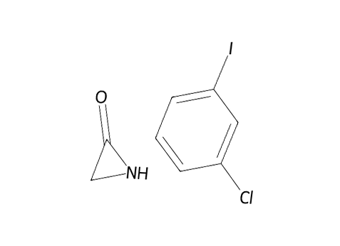 Clc1cccc(I)c1.O=C1CN1